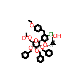 CCOc1ccc(Cc2cc([C@@H]3O[C@H](COC(C)=O)[C@@H](OCc4ccccc4)[C@H](OCc4ccccc4)[C@H]3OCc3ccccc3)c(OC[C@H]3C[C@H]3CO)cc2Cl)cc1